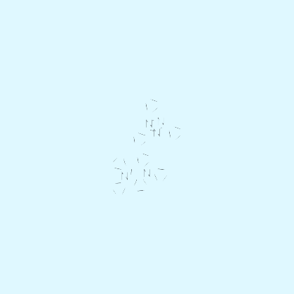 c1ccc(-c2nc(-c3ccccc3)nc(-c3cccc(-c4ccc5c(c4)-c4c(n(-c6ccccc6)c6ccccc46)-c4ccccc4N5c4ccccc4)c3)n2)cc1